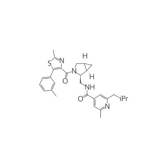 Cc1cccc(-c2sc(C)nc2C(=O)N2C[C@H]3C[C@H]3[C@H]2CNC(=O)c2cc(C)nc(CC(C)C)c2)c1